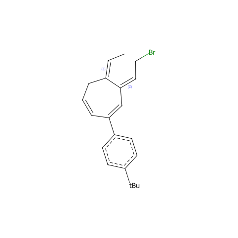 C/C=C1/CC=CC(c2ccc(C(C)(C)C)cc2)=C/C1=C/CBr